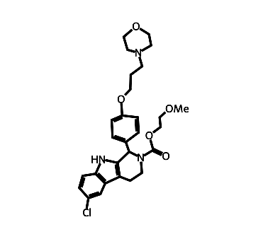 COCCOC(=O)N1CCc2c([nH]c3ccc(Cl)cc23)C1c1ccc(OCCCN2CCOCC2)cc1